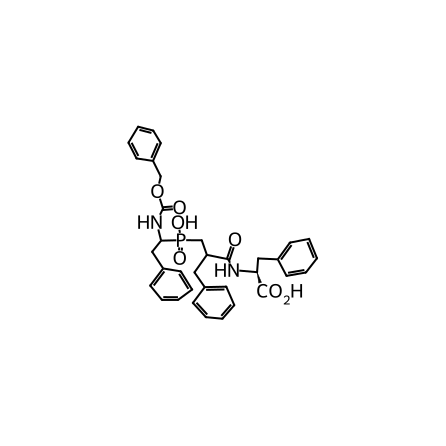 O=C(NC(Cc1ccccc1)P(=O)(O)CC(Cc1ccccc1)C(=O)N[C@@H](Cc1ccccc1)C(=O)O)OCc1ccccc1